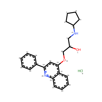 Cl.OC(CNC1CCCC1)COc1cc(-c2ccccc2)nc2ccccc12